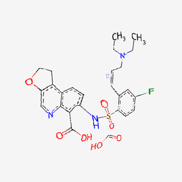 CCN(CC)C/C=C\c1cc(F)ccc1S(=O)(=O)Nc1ccc2c3c(cnc2c1C(=O)O)OCC3.O=CO